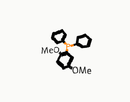 COc1ccc(OC)c(P(c2ccccc2)c2ccccc2)c1